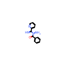 N=C(c1ccccn1)N(N)C(=O)c1ccccc1